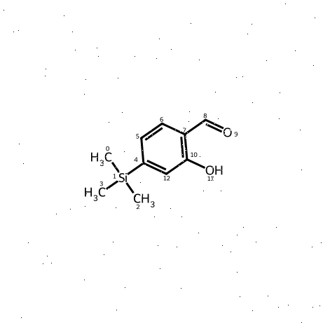 C[Si](C)(C)c1ccc(C=O)c(O)c1